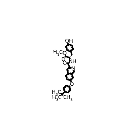 COC(=O)[C@H](Cc1ccc(O)cc1)NC(=O)c1cc2ccc(Oc3ccc(C(C)(C)C)cc3)cc2cn1